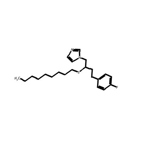 CCCCCCCCCSC(CCc1ccc(F)cc1)Cn1ccnc1